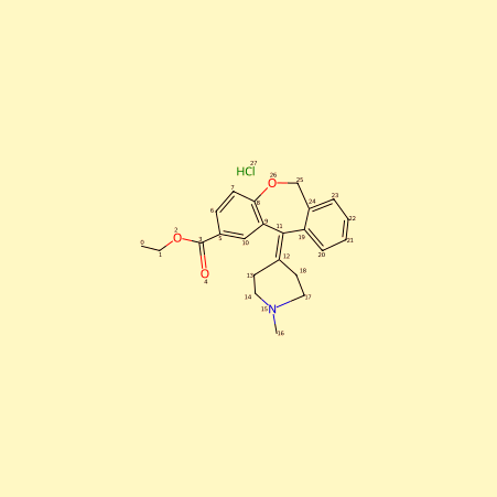 CCOC(=O)c1ccc2c(c1)C(=C1CCN(C)CC1)c1ccccc1CO2.Cl